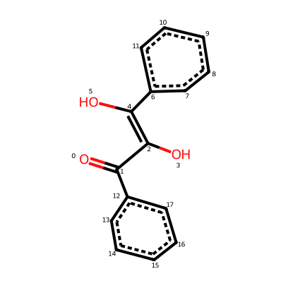 O=C(/C(O)=C(\O)c1ccccc1)c1ccccc1